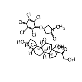 CN1CCCC1=O.C[C@]12CC[C@@H](O)C[C@H]1CC[C@@H]1[C@@H]2C(=O)C[C@@]2(C)[C@H]1CC[C@]2(O)C(=O)CO.O=C1C(Cl)=C(Cl)C(=O)C(Cl)=C1Cl